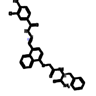 NC(=O)[C@@H](Cc1ccccc1)NC(=O)COc1ccc(/C=N/NC(=O)c2ccc(O)c(Cl)c2)c2ccccc12